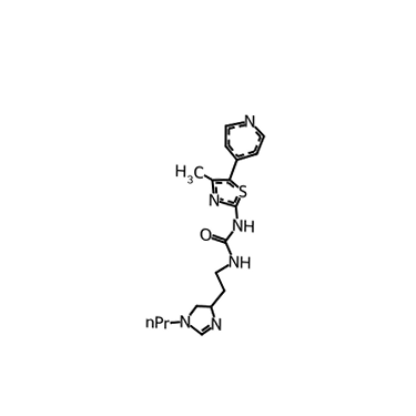 CCCN1C=NC(CCNC(=O)Nc2nc(C)c(-c3ccncc3)s2)C1